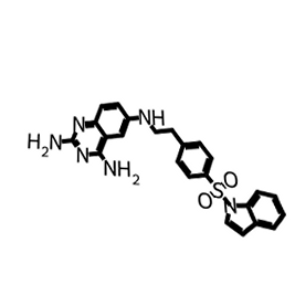 Nc1nc(N)c2cc(NCCc3ccc(S(=O)(=O)n4ccc5ccccc54)cc3)ccc2n1